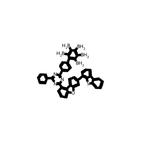 Bc1c(B)c(B)c(-c2ccc(-c3nc(-c4ccccc4)nc(-c4cccc5oc6cc(-c7cccc8c7sc7ccccc78)ccc6c45)n3)cc2)c(B)c1B